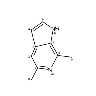 Cc1cc2cc[nH]c2c(C)n1